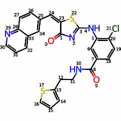 O=C1N=C(Nc2cc(C(=O)NCCc3cccs3)ccc2Cl)SC1=Cc1ccc2ncccc2c1